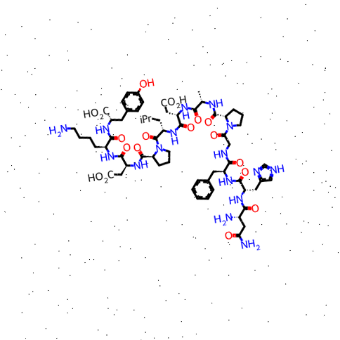 CC(C)C[C@H](NC(=O)[C@H](CC(=O)O)NC(=O)[C@H](C)NC(=O)[C@@H]1CCCN1C(=O)CNC(=O)[C@H](Cc1ccccc1)NC(=O)[C@H](Cc1c[nH]cn1)NC(=O)[C@@H](N)CC(N)=O)C(=O)N1CCC[C@H]1C(=O)N[C@@H](CC(=O)O)C(=O)N[C@@H](CCCCN)C(=O)N[C@@H](Cc1ccc(O)cc1)C(=O)O